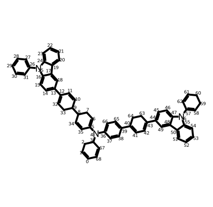 C1=CCC(N(C2=CCC(C3C=CC(c4ccc5c(c4)c4ccccc4n5-c4ccccc4)=CC3)C=C2)c2ccc(C3=CC=C(c4ccc5c(c4)c4ccccc4n5C4=CCCC=C4)CC3)cc2)C=C1